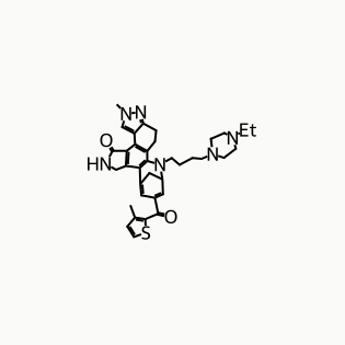 CCN1CCN(CCCCN2c3c4c(c5c(c3C3=CC(C(=O)c6sccc6C)=CC2C3)CNC5=O)-c2cn(C)nc2CC4)CC1